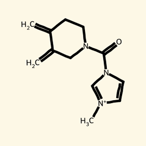 C=C1CCN(C(=O)n2cc[n+](C)c2)CC1=C